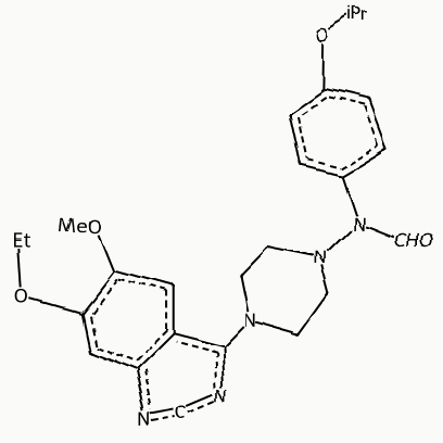 CCOc1cc2ncnc(N3CCN(N(C=O)c4ccc(OC(C)C)cc4)CC3)c2cc1OC